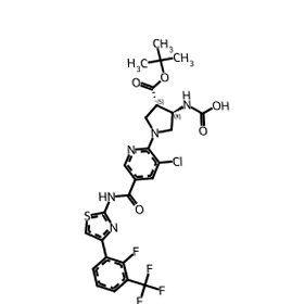 CC(C)(C)OC(=O)[C@H]1CN(c2ncc(C(=O)Nc3nc(-c4cccc(C(F)(F)F)c4F)cs3)cc2Cl)C[C@@H]1NC(=O)O